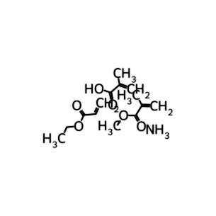 C=C(C)C(=O)O.C=C(C)C(=O)OC.C=CC(=O)OCC.N